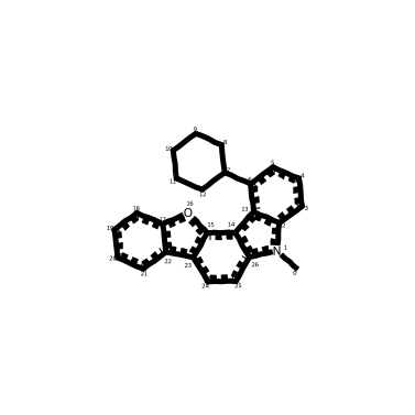 Cn1c2cccc(C3CCCCC3)c2c2c3oc4ccccc4c3ccc21